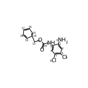 Nc1cc(Cl)c(Cl)cc1NC(=O)OCc1ccccc1